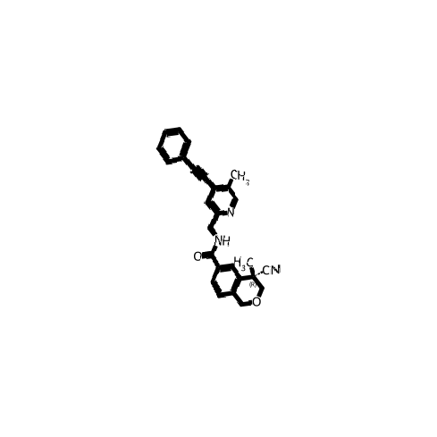 Cc1cnc(CNC(=O)c2ccc3c(c2)[C@](C)(C#N)COC3)cc1C#Cc1ccccc1